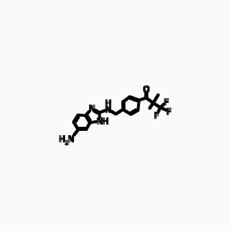 CC(C)(C(=O)c1ccc(CNc2nc3ccc(N)cc3[nH]2)cc1)C(F)(F)F